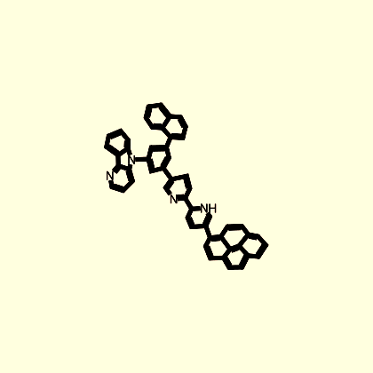 C1=CC(c2ccc(-c3cc(-c4cccc5ccccc45)cc(-n4c5ccccc5c5ncccc54)c3)cn2)NC=C1c1ccc2ccc3cccc4ccc1c2c34